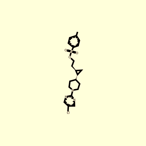 Cc1ccc(S(=O)(=O)OCC[C@H]2C[C@@H]2C2CCN(c3ncc(Cl)cn3)CC2)cc1